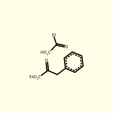 CCC(=O)C(=O)O.CCOC(=O)C(=O)Cc1ccccc1